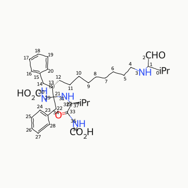 CC(C)C(C=O)NCCCCCCCCC[C@@H](Cc1ccccc1)C(Cc1ccccc1)(NC(=O)O)N[C@H](C(=O)NC(=O)O)C(C)C